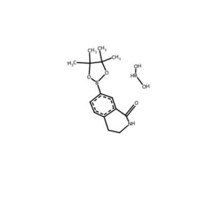 CC1(C)OB(c2ccc3c(c2)C(=O)NCC3)OC1(C)C.OBO